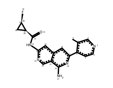 Cc1cnccc1-c1cc2cc(NC(=O)[C@H]3C[C@H]3F)ncc2c(N)n1